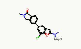 CN1Cc2cc(-c3cc(Cl)c4oc(N(C)C(=O)O)cc4c3)ccc2C1=O